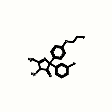 CN1C(=O)[C@@](c2ccc(OCCF)cc2)(c2cccc(Br)c2)N=C1N